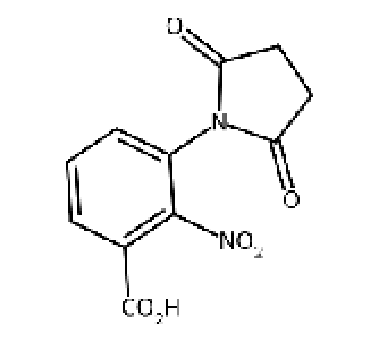 O=C(O)c1cccc(N2C(=O)CCC2=O)c1[N+](=O)[O-]